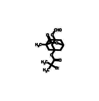 CCC(C)(C)C(=O)OC12CC3CC(OC=O)(C1)CC(C)(C2)C(=O)O3